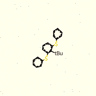 CC(C)(C)c1c(Sc2ccccc2)cccc1Sc1ccccc1